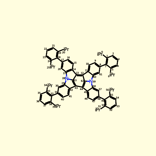 CC(C)c1cccc(C(C)C)c1-c1ccc2c3c4c5ccc(-c6c(C(C)C)cccc6C(C)C)cc5n5c6cc(-c7c(C(C)C)cccc7C(C)C)ccc6c(c6c7ccc(-c8c(C(C)C)cccc8C(C)C)cc7n(c2c1)c36)c45